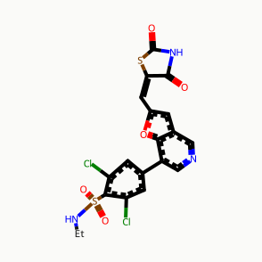 CCNS(=O)(=O)c1c(Cl)cc(-c2cncc3cc(C=C4SC(=O)NC4=O)oc23)cc1Cl